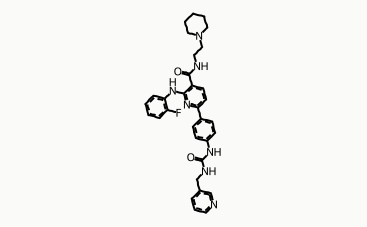 O=C(NCc1cccnc1)Nc1ccc(-c2ccc(C(=O)NCCN3CCCCC3)c(Nc3ccccc3F)n2)cc1